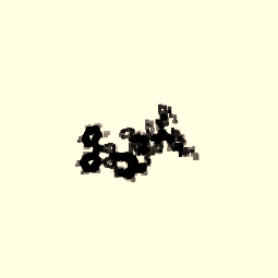 CON=C(C(=O)NC1C(=O)N2C(C(=O)OC(c3ccccc3)c3ccccc3)=C(CI)CS[C@@H]12)c1nsc(N)n1